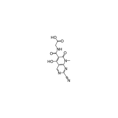 Cn1c(=O)c(C(=O)NCC(=O)O)c(O)c2cnc(C#N)nc21